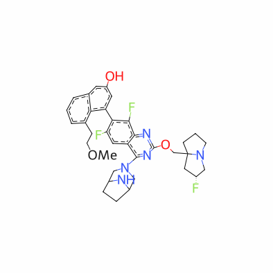 COCCc1cccc2cc(O)cc(-c3c(F)cc4c(N5CC6CCC(C5)N6)nc(OCC56CCCN5C[C@H](F)C6)nc4c3F)c12